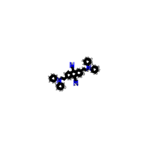 N#Cc1c2ccc(C=CN(c3ccccc3)c3ccccc3)cc2c(C#N)c2ccc(C=CN(c3ccccc3)c3ccccc3)cc12